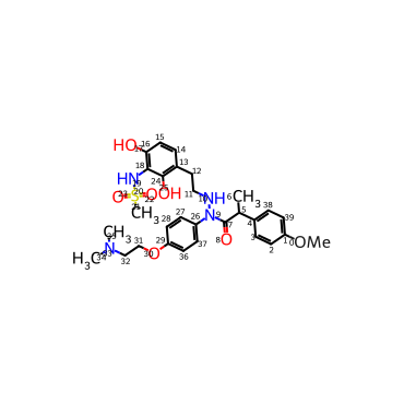 COc1ccc(C(C)C(=O)N(NCCc2ccc(O)c(NS(C)(=O)=O)c2O)c2ccc(OCCN(C)C)cc2)cc1